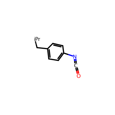 CC(C)Cc1ccc(N=C=O)cc1